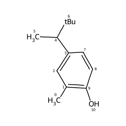 Cc1cc(C(C)C(C)(C)C)ccc1O